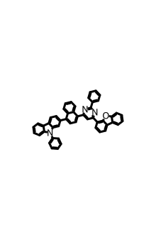 c1ccc(-c2nc(-c3ccc(-c4ccc5c6ccccc6n(-c6ccccc6)c5c4)c4ccccc34)cc(-c3cccc4c3oc3ccccc34)n2)cc1